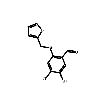 O=Cc1cc(S)c(Cl)cc1NCc1ccco1